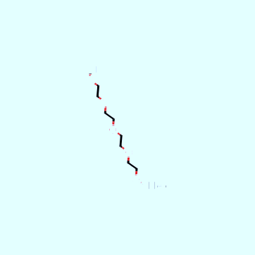 CCCCCCOCCOCCOCCOCCOCC